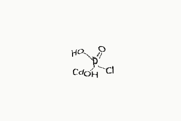 O=P(O)(O)Cl.[Cd]